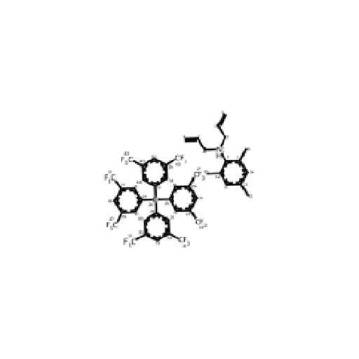 C=CC[NH+](CC=C)c1c(C)cc(C)cc1C.FC(F)(F)c1cc([B-](c2cc(C(F)(F)F)cc(C(F)(F)F)c2)(c2cc(C(F)(F)F)cc(C(F)(F)F)c2)c2cc(C(F)(F)F)cc(C(F)(F)F)c2)cc(C(F)(F)F)c1